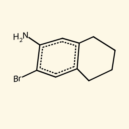 Nc1cc2c(cc1Br)CCCC2